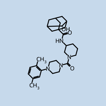 Cc1ccc(C)c(N2CCN(C(=O)N3CCCC(NC(=O)C45CC6CC(C4)C(O)C(C6)C5)C3)CC2)c1